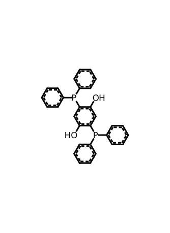 Oc1cc(P(c2ccccc2)c2ccccc2)c(O)cc1P(c1ccccc1)c1ccccc1